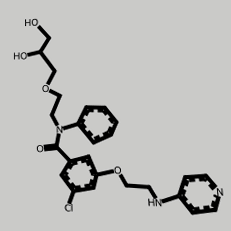 O=C(c1cc(Cl)cc(OCCNc2ccncc2)c1)N(CCOCC(O)CO)c1ccccc1